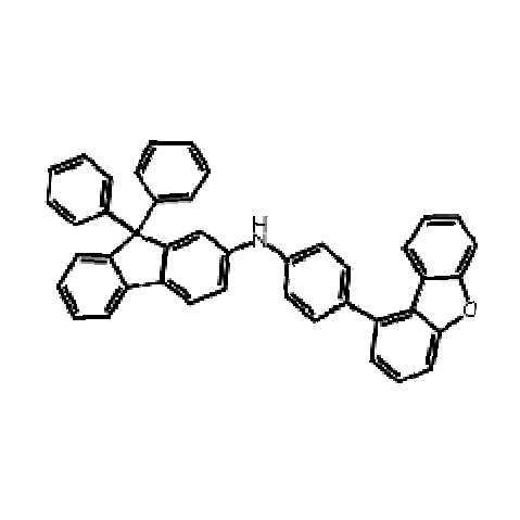 c1ccc(C2(c3ccccc3)c3ccccc3-c3ccc(Nc4ccc(-c5cccc6oc7ccccc7c56)cc4)cc32)cc1